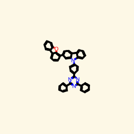 c1ccc(-c2nc(-c3ccccc3)nc(-c3ccc(-n4c5ccccc5c5ccc(-c6cccc7c6oc6ccccc67)cc54)cc3)n2)cc1